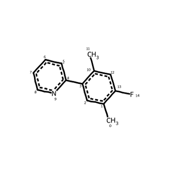 Cc1cc(-c2[c]cccn2)c(C)cc1F